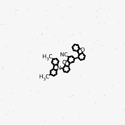 Cc1ccc2c(c1)c1cc(C)ccc1n2-c1cccc2c1oc1c(C#N)cc(-c3cccc4oc5ccccc5c34)cc12